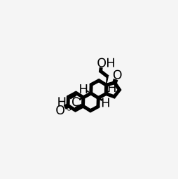 C[C@]12C=CC(=O)C=C1CC[C@H]1[C@@H]3CCC(=O)[C@@]3(CCO)CC[C@@H]12